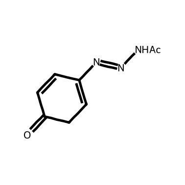 CC(=O)NN=NC1=CCC(=O)C=C1